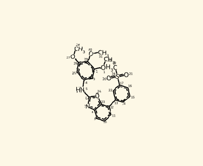 COc1cc(Nc2nc3cccc(-c4cccc(S(C)(=O)=O)c4)c3o2)cc(OC)c1OC